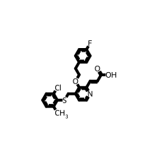 Cc1cccc(Cl)c1SCc1ccnc(C=CC(=O)O)c1OCCc1ccc(F)cc1